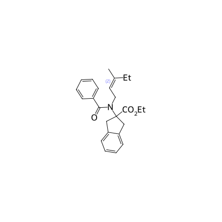 CCOC(=O)C1(N(C/C=C(/C)CC)C(=O)c2ccccc2)Cc2ccccc2C1